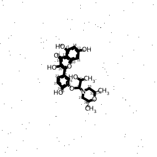 CC(O)C(Oc1cc(-c2oc3cc(O)cc(O)c3c(=O)c2O)ccc1O)N1C[C@@H](C)O[C@@H](C)C1